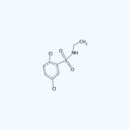 [CH2]CNS(=O)(=O)c1cc(Cl)ccc1Cl